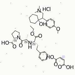 CCOC(=O)[C@H](CCc1ccccc1)N[C@@H](C)C(=O)N1CCC[C@H]1C(=O)O.COc1ccc(C(CN(C)C)C2(O)CCCCC2)cc1.Cl.O=C(O)/C=C\C(=O)O